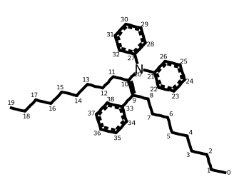 CCCCCCCCCC(=C(CCCCCCCCC)N(c1ccccc1)c1ccccc1)c1ccccc1